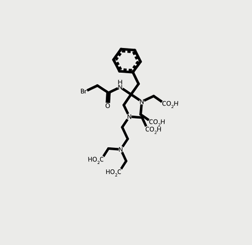 O=C(O)CN(CCN(CC(=O)O)CC(Cc1ccccc1)(NC(=O)CBr)N(CC(=O)O)CC(=O)O)CC(=O)O